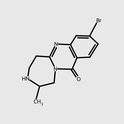 CC1Cn2c(nc3cc(Br)ccc3c2=O)CCN1